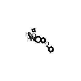 O=S(=O)(NC1CCC1)NC1C2CCC1Cc1cc(OCc3ccccc3)ccc1C2